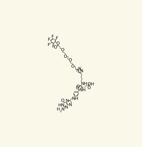 Nc1nc2ncc(CNc3ccc(C(=O)N[C@@H](CCC(=O)O)C(=O)NCCCCc4cn(CCOCCOCCOCCOCCC(=O)Oc5c(F)c(F)c(F)c(F)c5F)nn4)cc3)nc2c(=O)[nH]1